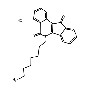 Cl.NCCCCCCCn1c2c(c3ccccc3c1=O)C(=O)c1ccccc1-2